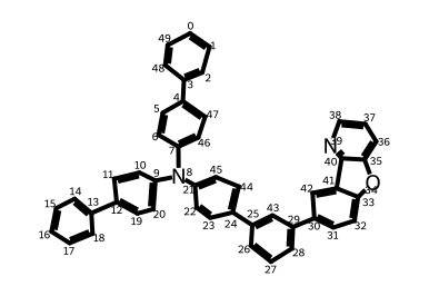 c1ccc(-c2ccc(N(c3ccc(-c4ccccc4)cc3)c3ccc(-c4cccc(-c5ccc6oc7cccnc7c6c5)c4)cc3)cc2)cc1